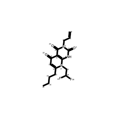 C=CCn1c(=O)[nH]c2c(c(=O)cc(CCCC)n2CC(F)F)c1=O